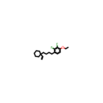 C=CC1([CH]CC[CH]c2ccc(OCC)c(F)c2F)CCCCC1